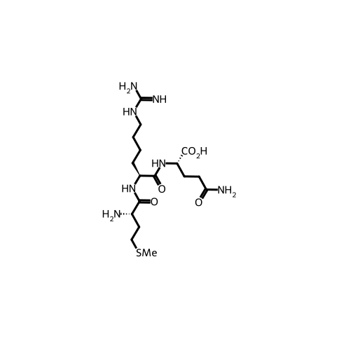 CSCC[C@H](N)C(=O)N[C@@H](CCCCNC(=N)N)C(=O)N[C@@H](CCC(N)=O)C(=O)O